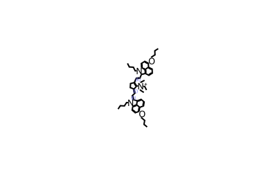 CCCCOc1ccc2c3c(cccc13)C(/C=C/C1=C([N+](CC)(CC)CC)C(=C/C=c3\c4cccc5c(OCCCC)ccc(c54)n3CCCC)/CC1)=[N+]2CCCC